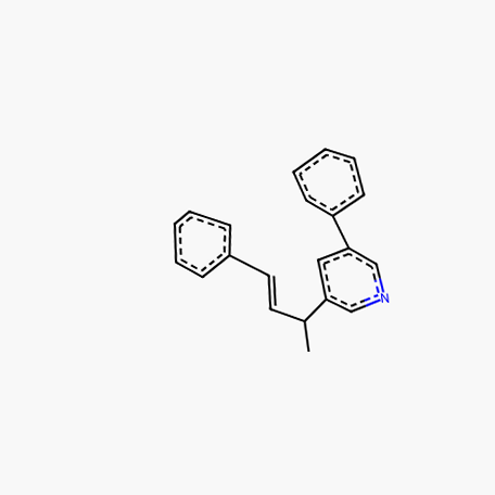 CC(C=Cc1ccccc1)c1cncc(-c2ccccc2)c1